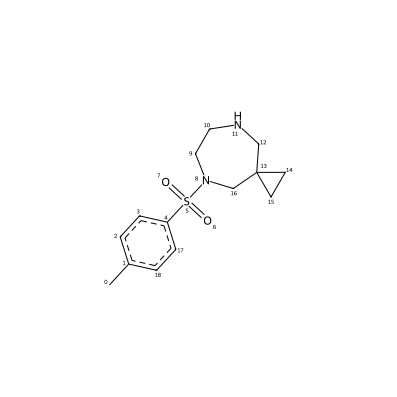 Cc1ccc(S(=O)(=O)N2CCNCC3(CC3)C2)cc1